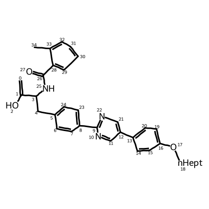 C=C(O)C(Cc1ccc(-c2ncc(-c3ccc(OCCCCCCC)cc3)cn2)cc1)NC(=O)c1ccccc1C